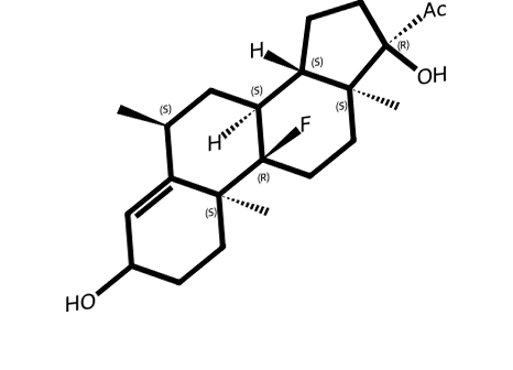 CC(=O)[C@@]1(O)CC[C@H]2[C@@H]3C[C@H](C)C4=CC(O)CC[C@]4(C)[C@@]3(F)CC[C@@]21C